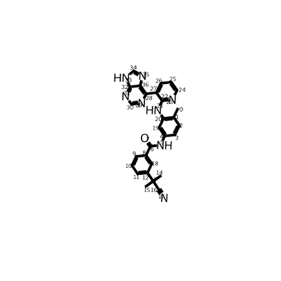 Cc1ccc(NC(=O)c2cccc(C(C)(C)C#N)c2)cc1Nc1ncccc1-c1ncnc2[nH]cnc12